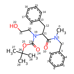 CN(Cc1ccccc1)C(=O)C(Cc1ccccc1)N(CCO)C(=O)OC(C)(C)C